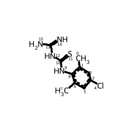 Cc1cc(Cl)cc(C)c1NC(=S)NC(=N)N